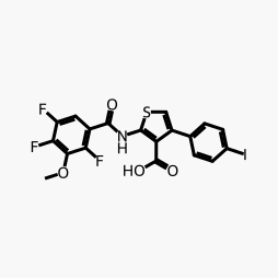 COc1c(F)c(F)cc(C(=O)Nc2scc(-c3ccc(I)cc3)c2C(=O)O)c1F